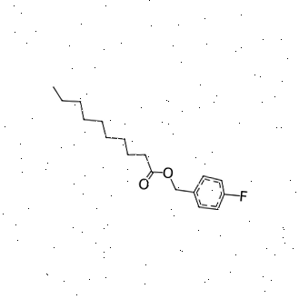 CCCCCCCCCC(=O)OCc1ccc(F)cc1